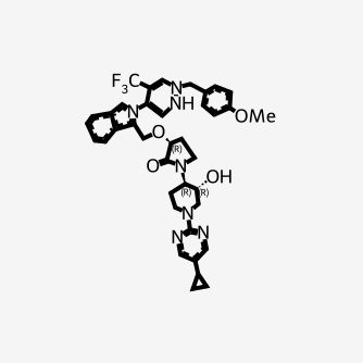 COc1ccc(CN2C=C(C(F)(F)F)C(n3cc4ccccc4c3CO[C@@H]3CCN([C@@H]4CCN(c5ncc(C6CC6)cn5)C[C@H]4O)C3=O)=CN2)cc1